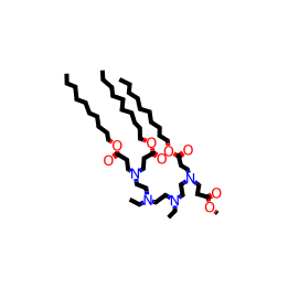 CCCCCCCCCCOC(=O)CCN(CCC(=O)OC)CCN(CC)CCN(CC)CCN(CCC(=O)OCCCCCCCCCC)CCC(=O)OCCCCCCCCCC